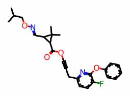 CC(C)CO/N=C/C1C(C(=O)OC#CCc2ccc(F)c(Oc3ccccc3)n2)C1(C)C